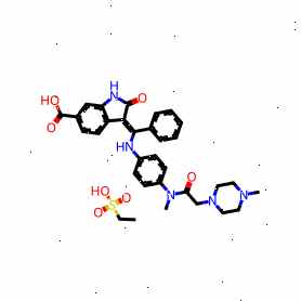 CCS(=O)(=O)O.CN1CCN(CC(=O)N(C)c2ccc(NC(=C3C(=O)Nc4cc(C(=O)O)ccc43)c3ccccc3)cc2)CC1